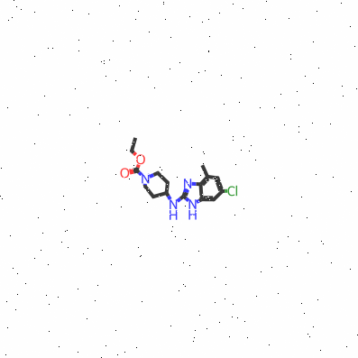 CCOC(=O)N1CCC(Nc2nc3c(C)cc(Cl)cc3[nH]2)CC1